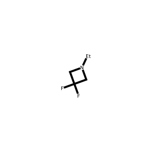 CCN1CC(F)(F)C1